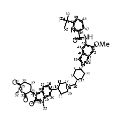 COc1cc2nn([C@H]3CC[C@H](CN4CCC(c5ccc6c(c5)n(C)c(=O)n6C5CCC(=O)N(C)C5=O)CC4)CC3)cc2cc1NC(=O)c1cccc(C(C)(C)F)n1